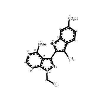 CCOC(=O)c1ccc2c(C)c(-c3nn(CC(F)(F)F)c4ncnc(NC)c34)[nH]c2c1